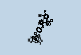 CC(C)(C)NC(=O)O[C@H]1CC[C@H](Sc2nonc2-c2noc(=O)n2-c2ccc(F)c(Br)c2)CC1